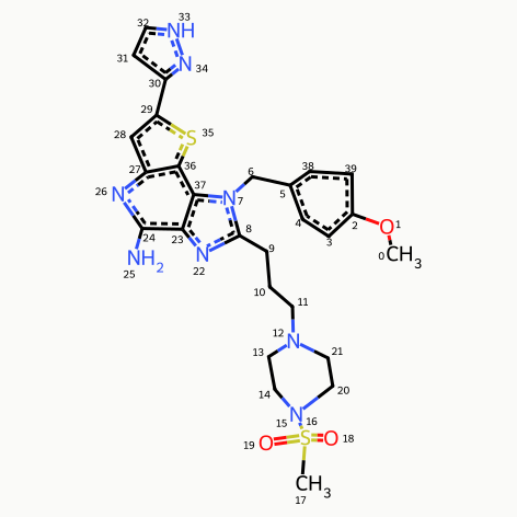 COc1ccc(Cn2c(CCCN3CCN(S(C)(=O)=O)CC3)nc3c(N)nc4cc(-c5cc[nH]n5)sc4c32)cc1